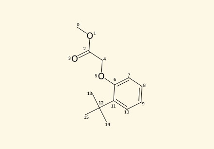 COC(=O)COc1ccccc1C(C)(C)C